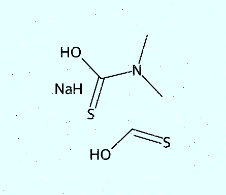 CN(C)C(O)=S.OC=S.[NaH]